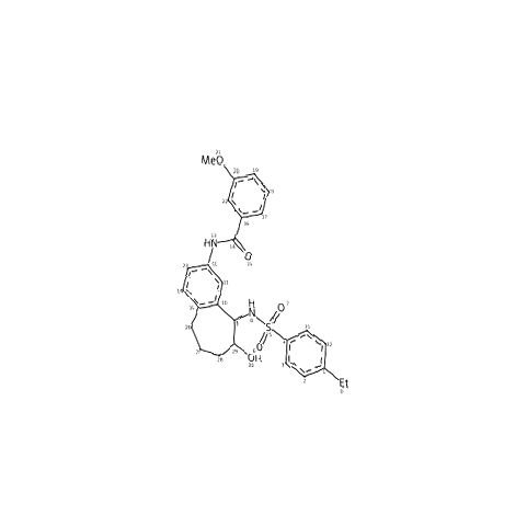 CCc1ccc(S(=O)(=O)NC2c3cc(NC(=O)c4cccc(OC)c4)ccc3CCCC2O)cc1